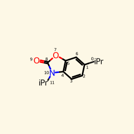 CC(C)c1ccc2c(c1)oc(=O)n2C(C)C